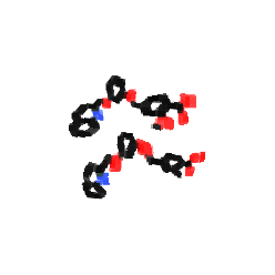 COc1cc(COc2cccc(OCc3ccc4ccccc4n3)c2)ccc1C(=O)O.Cc1cc(COc2cccc(OCc3ccc4ccccc4n3)c2)ccc1C(=O)O